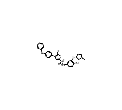 CN1CC[C@@H](Oc2cc(NS(=O)(=O)c3cc(-c4ccc(Oc5ccccc5)cc4)c(Cl)s3)ccc2Cl)C1